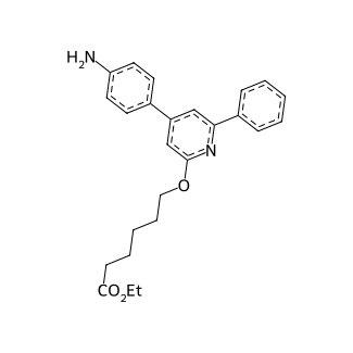 CCOC(=O)CCCCCOc1cc(-c2ccc(N)cc2)cc(-c2ccccc2)n1